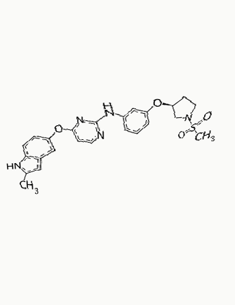 Cc1cc2cc(Oc3ccnc(Nc4cccc(O[C@H]5CCN(S(C)(=O)=O)C5)c4)n3)ccc2[nH]1